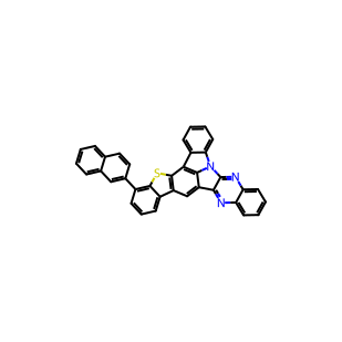 c1ccc2cc(-c3cccc4c3sc3c4cc4c5nc6ccccc6nc5n5c6ccccc6c3c45)ccc2c1